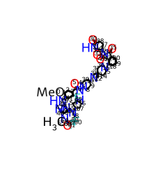 COc1cc(C(=O)NN2CCC(N3CC4(CCN(c5cccc6c5C(=O)N(C5CCC(=O)NC5=O)C6=O)CC4)C3)CC2)c(F)cc1Nc1ncc2c(n1)N(C1CCCC1)CC(F)(F)C(=O)N2C